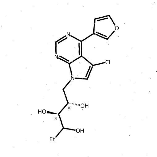 CCC(O)[C@@H](O)[C@@H](O)Cn1cc(Cl)c2c(-c3ccoc3)ncnc21